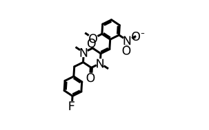 COc1cccc([N+](=O)[O-])c1C=C1C(=O)N(C)C(Cc2ccc(F)cc2)C(=O)N1C